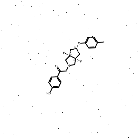 O=C(CN1C[C@H]2C[C@H](Oc3ccc(F)cc3)C[C@H]2C1)c1ccc(O)cc1